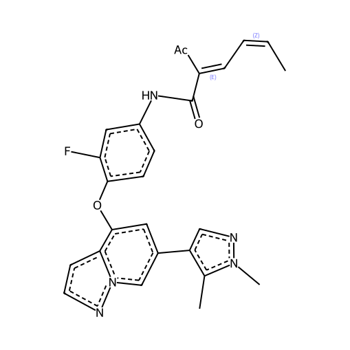 C/C=C\C=C(/C(C)=O)C(=O)Nc1ccc(Oc2cc(-c3cnn(C)c3C)cn3nccc23)c(F)c1